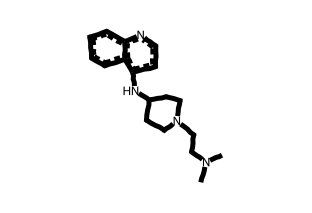 CN(C)CCN1CCC(Nc2ccnc3ccccc23)CC1